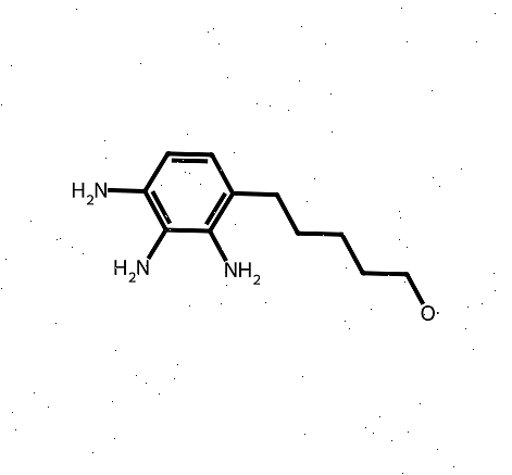 Nc1ccc(CCCCC[O])c(N)c1N